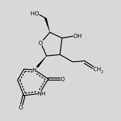 C=CCC1C(O)[C@H](CO)O[C@@H]1n1ccc(=O)[nH]c1=O